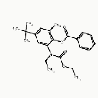 CCOC(=O)N(CC)c1cc(C(C)(C)C)cc(C)c1OC(=O)c1ccccc1